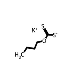 CCCCOC(=S)[S-].[K+]